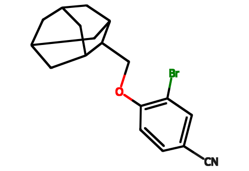 N#Cc1ccc(OCC2C3CC4CC(C3)CC2C4)c(Br)c1